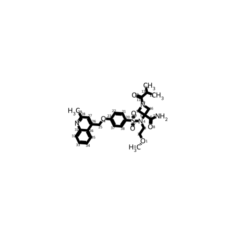 COCCN(C1(C(N)=O)CN(C(=O)C(C)C)C1)S(=O)(=O)c1ccc(OCc2cc(C)nc3ccccc23)cc1